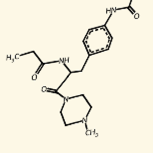 CCC(=O)NC(Cc1ccc(NC(=O)O)cc1)C(=O)N1CCN(C)CC1